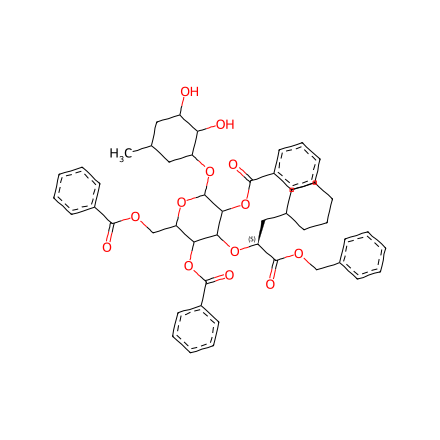 CC1CC(O)C(O)C(OC2OC(COC(=O)c3ccccc3)C(OC(=O)c3ccccc3)C(O[C@@H](CC3CCCCC3)C(=O)OCc3ccccc3)C2OC(=O)c2ccccc2)C1